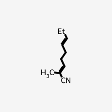 CCC=CCCC=C(C)C#N